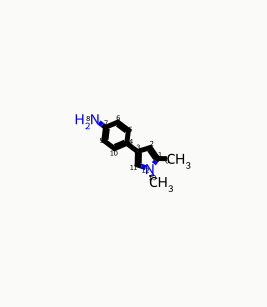 Cc1cc(-c2ccc(N)cc2)cn1C